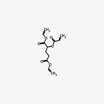 C=COC(=O)CCC(OC(=O)C=C)C(=O)OC=C